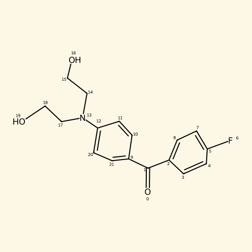 O=C(c1ccc(F)cc1)c1ccc(N(CCO)CCO)cc1